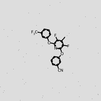 Cc1c(F)c(Oc2cccc(C#N)c2)nc(Oc2cccc(C(F)(F)F)c2)c1F